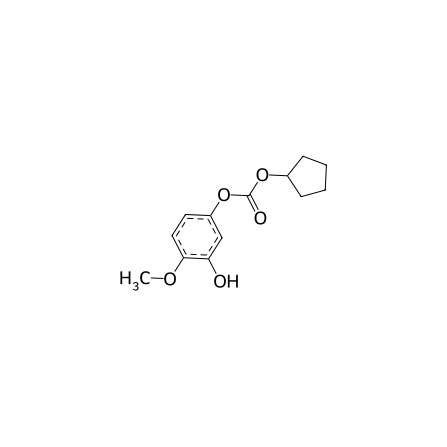 COc1ccc(OC(=O)OC2CCCC2)cc1O